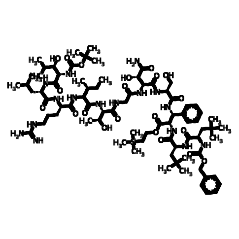 CC[C@H](C)C(NC(=O)[C@@H](CCCNC(=N)N)NC(=O)[C@H](CC(C)C)NC(=O)[C@@H](NC(=O)OC(C)(C)C)[C@H](O)C(C)C)C(=O)N[C@H](C(=O)NCC(=O)N[C@H](C(=O)N[C@@H](CO)C(=O)N[C@H](c1ccccc1)[C@H](NC(=O)[C@H](CC(C)(C)C)NC(=O)[C@@H](CC(C)(C)C)NC(=O)OCc1ccccc1)C(=O)OCC[Si](C)(C)C)[C@H](O)C(N)=O)[C@H](C)O